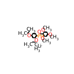 CCC(C)Oc1ccc(PC(=O)c2c(OC)cc(OC)cc2OC)c(OC(C)CC)c1.[Li]